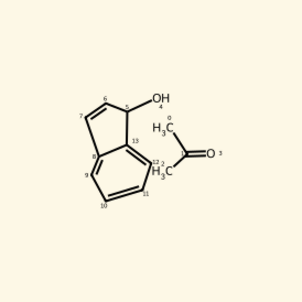 CC(C)=O.OC1C=Cc2ccccc21